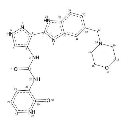 O=C(Nc1c[nH]nc1-c1nc2cc(CN3CCOCC3)ccc2[nH]1)Nc1ccc[nH]c1=O